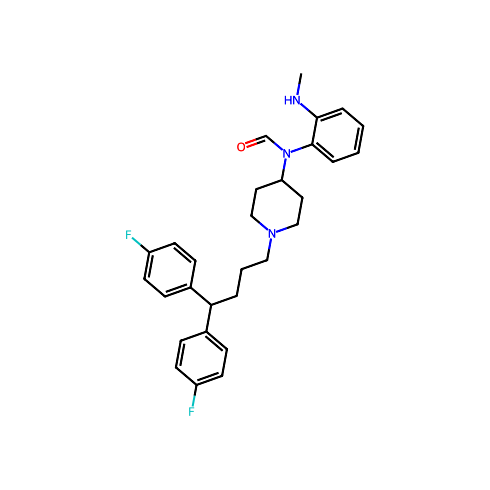 CNc1ccccc1N(C=O)C1CCN(CCCC(c2ccc(F)cc2)c2ccc(F)cc2)CC1